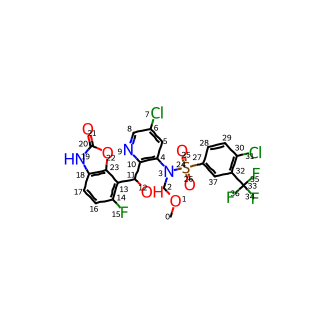 COCN(c1cc(Cl)cnc1C(O)c1c(F)ccc2[nH]c(=O)oc12)S(=O)(=O)c1ccc(Cl)c(C(F)(F)F)c1